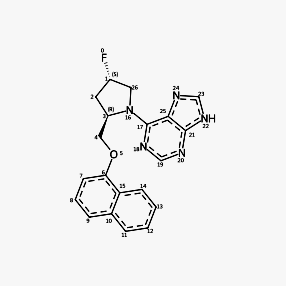 F[C@H]1C[C@H](COc2cccc3ccccc23)N(c2ncnc3[nH]cnc23)C1